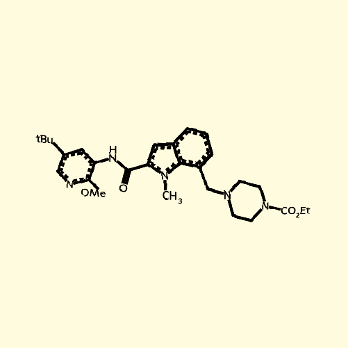 CCOC(=O)N1CCN(Cc2cccc3cc(C(=O)Nc4cc(C(C)(C)C)cnc4OC)n(C)c23)CC1